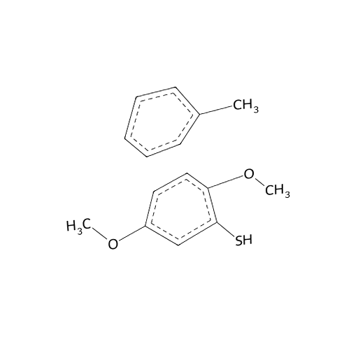 COc1ccc(OC)c(S)c1.Cc1ccccc1